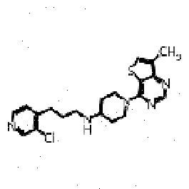 Cc1csc2c(N3CCC(NCCCc4ccncc4Cl)CC3)ncnc12